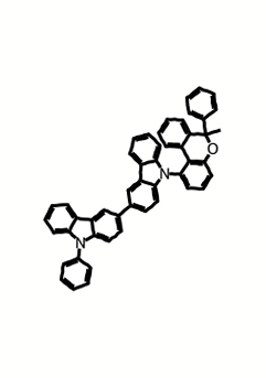 CC1(c2ccccc2)Oc2cccc(-n3c4ccccc4c4cc(-c5ccc6c(c5)c5ccccc5n6-c5ccccc5)ccc43)c2-c2ccccc21